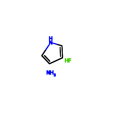 F.N.c1cc[nH]c1